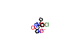 O=C(C1=CCC=C1)N1CCN2C(=O)c3ccc[n+]([O-])c3CC12c1ccc(Cl)cc1